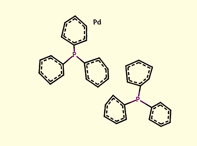 [Pd].c1ccc(P(c2ccccc2)c2ccccc2)cc1.c1ccc(P(c2ccccc2)c2ccccc2)cc1